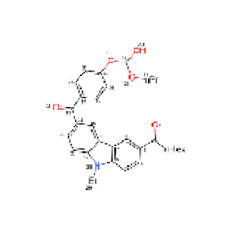 CCCCCCC(=O)c1ccc2c(c1)c1cc(C(=O)c3ccc(OC(O)OCCC)cc3)ccc1n2CC